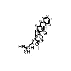 CC(=N)NCCC[C@H](NC(=O)c1ccc(Cc2ccccc2)[nH]c1=O)C(=O)O